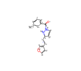 N#Cc1cccc(C(=O)n2ccc(/C=C/c3ccoc3)n2)c1